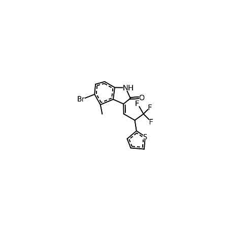 Cc1c(Br)ccc2c1C(=CC(c1cccs1)C(F)(F)F)C(=O)N2